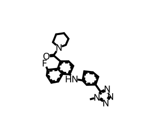 Cn1nnnc1-c1cccc(Nc2ccc(C(=O)N3CCCCC3)c3c(F)cccc23)c1